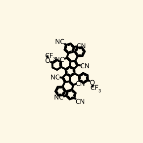 N#CC1=C(c2ccccc2)/C(=C(/C#N)c2cc(C#N)cc(C#N)c2)c2c1c(C1=CC=C(OC(F)(F)F)CC1)c1c(c2-c2ccc(OC(F)(F)F)cc2)C(C#N)=C(c2ccccc2)/C1=C(/C#N)c1cc(C#N)cc(C#N)c1